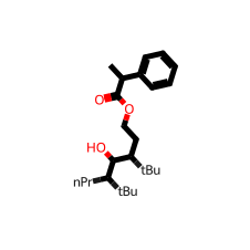 CCCC(C(O)C(CCOC(=O)C(C)c1ccccc1)C(C)(C)C)C(C)(C)C